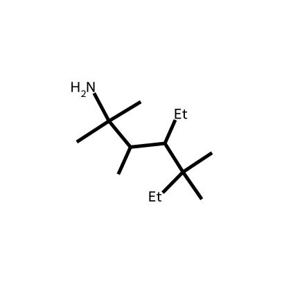 CCC(C(C)C(C)(C)N)C(C)(C)CC